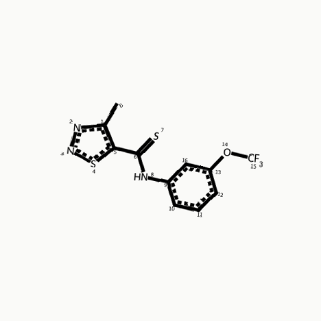 Cc1nnsc1C(=S)Nc1cccc(OC(F)(F)F)c1